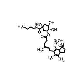 CCCCNC(=O)[C@]1(O)C[C@@H](O)[C@@H](O)[C@H](OC(=O)CC/C(C)=C/Cc2c(C)c(C)c3c(c2OP(=O)(O)O)C(=O)CC3)C1